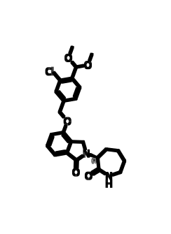 COC(OC)c1ccc(COc2cccc3c2CN([C@H]2CCCCNC2=O)C3=O)cc1Cl